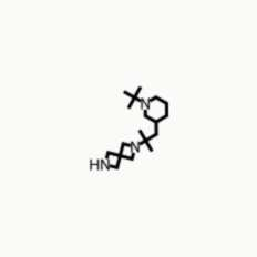 CC(C)(C)N1CCCC(CC(C)(C)N2CC3(CNC3)C2)C1